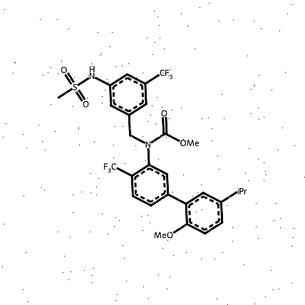 COC(=O)N(Cc1cc(NS(C)(=O)=O)cc(C(F)(F)F)c1)c1cc(-c2cc(C(C)C)ccc2OC)ccc1C(F)(F)F